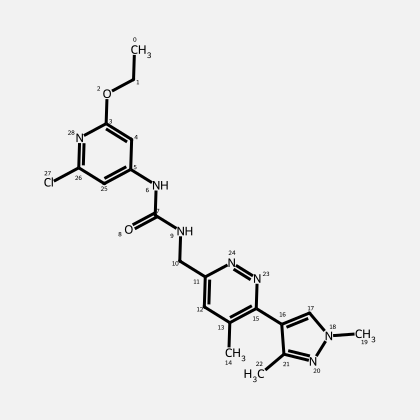 CCOc1cc(NC(=O)NCc2cc(C)c(-c3cn(C)nc3C)nn2)cc(Cl)n1